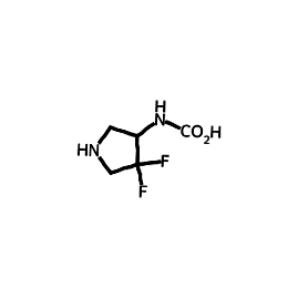 O=C(O)NC1CNCC1(F)F